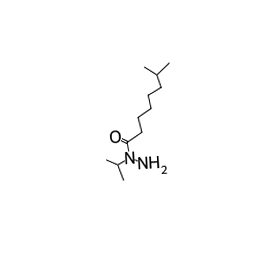 CC(C)CCCCCC(=O)N(N)C(C)C